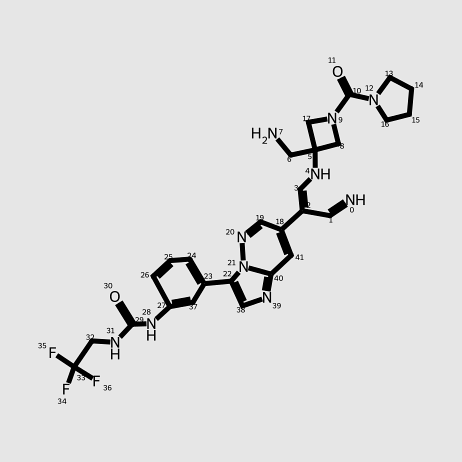 N=C/C(=C\NC1(CN)CN(C(=O)N2CCCC2)C1)c1cnn2c(-c3cccc(NC(=O)NCC(F)(F)F)c3)cnc2c1